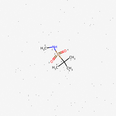 CNS(=O)(=O)C(C)(C)C